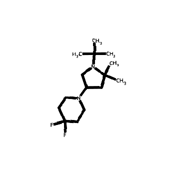 CC(C)(C)N1CC(N2CCC(F)(F)CC2)CC1(C)C